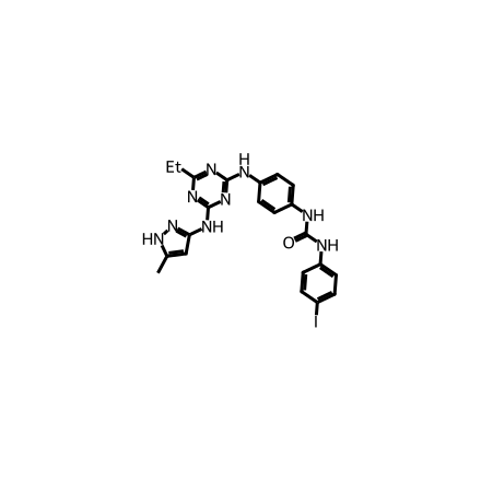 CCc1nc(Nc2ccc(NC(=O)Nc3ccc(I)cc3)cc2)nc(Nc2cc(C)[nH]n2)n1